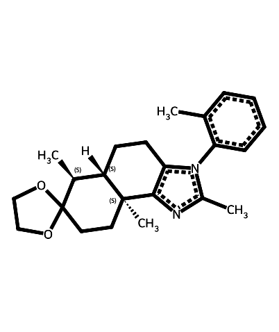 Cc1ccccc1-n1c(C)nc2c1CC[C@H]1[C@H](C)C3(CC[C@]21C)OCCO3